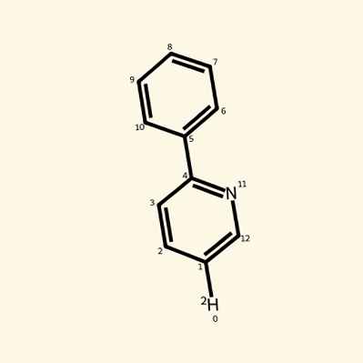 [2H]c1ccc(-c2ccccc2)nc1